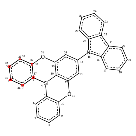 c1ccc([Si]23c4ccccc4Oc4cc(-n5c6ccccc6c6ccccc65)cc(c42)Oc2ccccc23)cc1